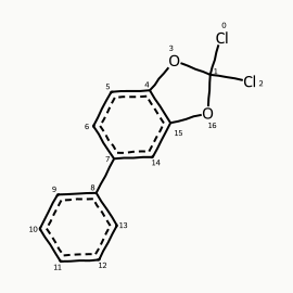 ClC1(Cl)Oc2ccc(-c3ccccc3)cc2O1